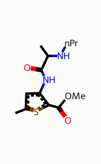 CCCNC(C)C(=O)Nc1cc(C)sc1C(=O)OC